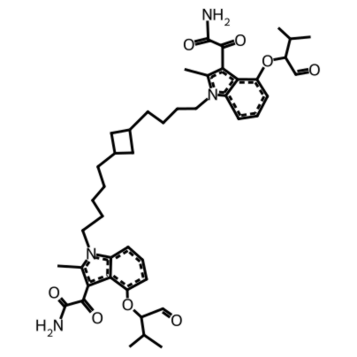 Cc1c(C(=O)C(N)=O)c2c(OC(C=O)C(C)C)cccc2n1CCCCCC1CC(CCCCn2c(C)c(C(=O)C(N)=O)c3c(OC(C=O)C(C)C)cccc32)C1